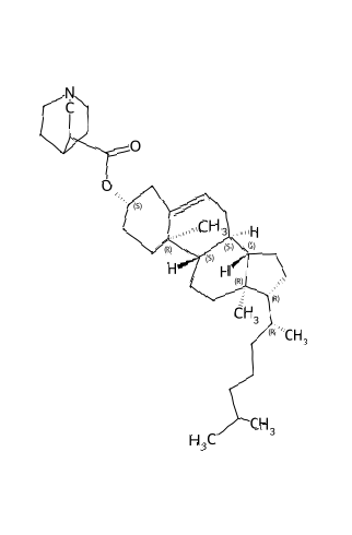 CC(C)CCC[C@@H](C)[C@H]1CC[C@H]2[C@@H]3CC=C4C[C@@H](OC(=O)C5CN6CCC5CC6)CC[C@]4(C)[C@H]3CC[C@]12C